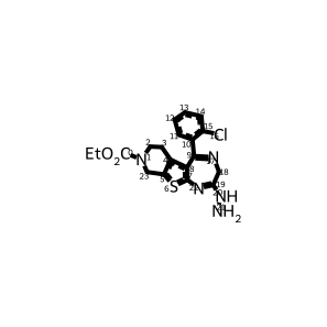 CCOC(=O)N1CCc2c(sc3c2C(c2ccccc2Cl)=NCC(NN)=N3)C1